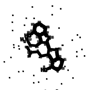 CN(C)CCC1=c2c(O)cccc2=NC1=C1N=c2cccc(O)c2=C1CCN